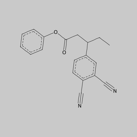 CCC(CC(=O)Oc1ccccc1)c1ccc(C#N)c(C#N)c1